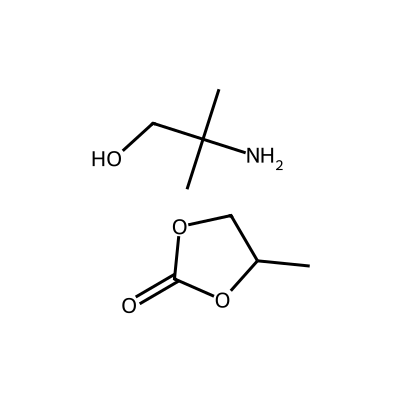 CC(C)(N)CO.CC1COC(=O)O1